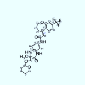 CC1(COC2CCCCO2)Nc2ccc(NC(=O)/C=C3\CCCOc4cc(C(F)(F)F)ccc43)cc2NC1=O